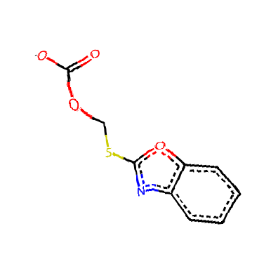 [O]C(=O)OCSc1nc2ccccc2o1